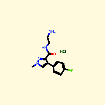 Cl.Cn1cc(-c2ccc(F)cc2)c(C(=O)NCCN)n1